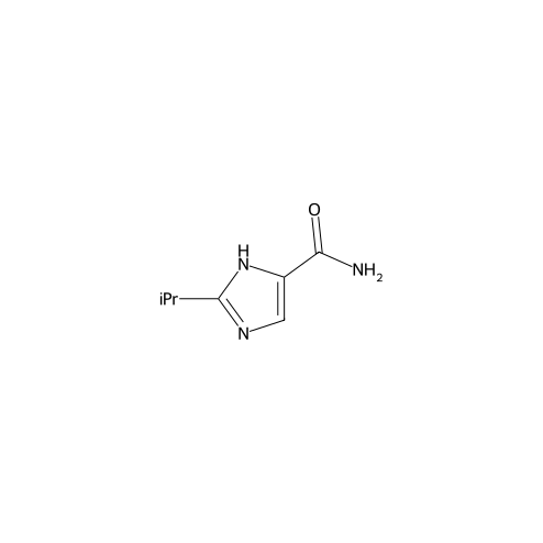 CC(C)c1ncc(C(N)=O)[nH]1